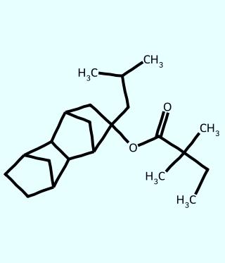 CCC(C)(C)C(=O)OC1(CC(C)C)CC2CC1C1C3CCC(C3)C21